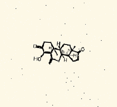 C=C1C[C@@H]2[C@@H](CC[C@]3(C)C(=O)CC[C@@H]23)[C@@]2(C)CCC(=O)C(O)=C12